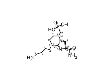 CCCCCN1CC[C@@H](CP(=O)(O)O)n2cc(C(N)=O)nc21